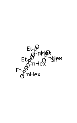 CCCCCCP(=O)([O-])CC.CCCCCCP(=O)([O-])CC.CCCCCCP(=O)([O-])CC.CCCCCCP(=O)([O-])CC.[Sn+4]